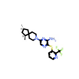 C[C@H]1C[C@H](C)C2(CCN(c3cnc(Sc4cccnc4C(F)(F)F)c(N)n3)CC2)C1